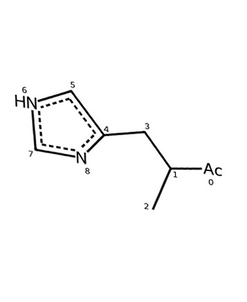 CC(=O)C(C)Cc1c[nH]cn1